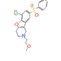 COCCN1CCc2oc3c(Cl)cc(S(=O)(=O)c4ccccc4)cc3c2C1